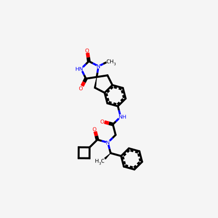 C[C@H](c1ccccc1)N(CC(=O)Nc1ccc2c(c1)C[C@@]1(C2)C(=O)NC(=O)N1C)C(=O)C1CCC1